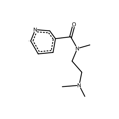 CN(C)CCN(C)C(=O)c1cc[c]nc1